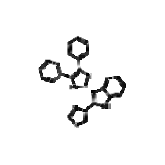 c1ccc(-c2nc[nH]c2-c2ccccc2)cc1.c1ccc2[nH]c(-c3cscn3)nc2c1